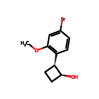 COc1cc(Br)ccc1[C@H]1CC[C@@H]1O